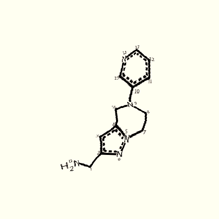 NCc1cc2n(n1)CCN(c1cccnc1)C2